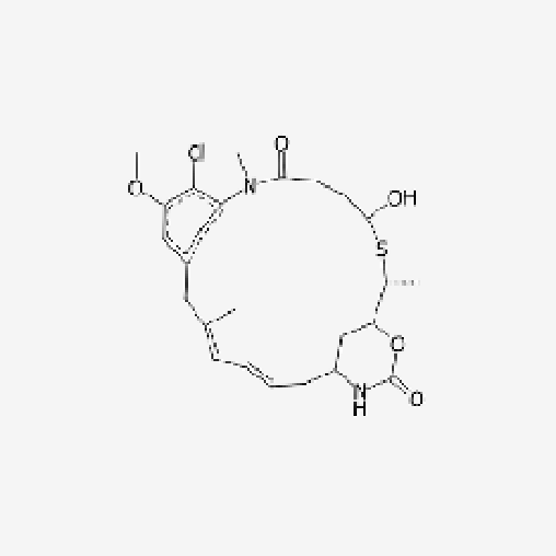 COc1cc2cc(c1Cl)N(C)C(=O)CCC(O)S[C@H](C)C1CC(C/C=C/C=C(\C)C2)NC(=O)O1